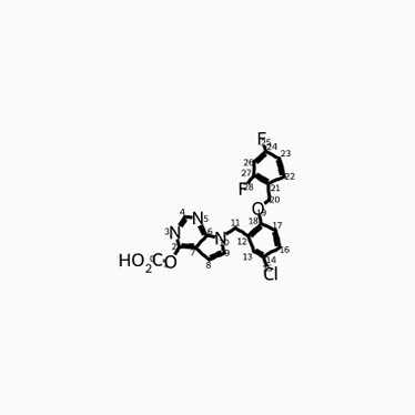 O=C(O)Oc1ncnc2c1ccn2Cc1cc(Cl)ccc1OCc1ccc(F)cc1F